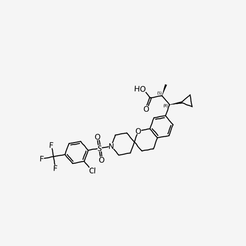 C[C@H](C(=O)O)[C@H](c1ccc2c(c1)OC1(CC2)CCN(S(=O)(=O)c2ccc(C(F)(F)F)cc2Cl)CC1)C1CC1